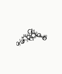 Clc1cc(OCC2CO2)ccc1Cc1ccc(OCC2CO2)cc1Cl